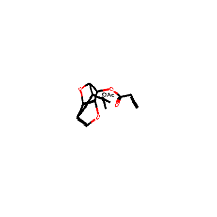 C=CC(=O)OC1C2OCC3C2OC1C3C(C)(C)OC(C)=O